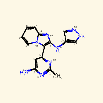 Cc1nc(N)cc(-c2c(Nc3cn[nH]c3)nc3ccccn23)n1